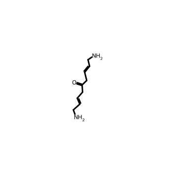 NCC=CCC(=O)CC=CCN